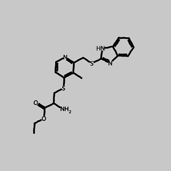 CCOC(=O)C(N)CSc1ccnc(CSc2nc3ccccc3[nH]2)c1C